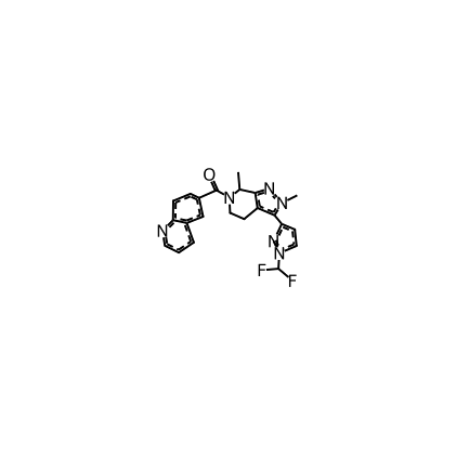 CC1c2nn(C)c(-c3ccn(C(F)F)n3)c2CCN1C(=O)c1ccc2ncccc2c1